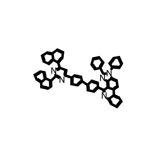 c1ccc(-c2nc3c4c(-c5ccc(-c6ccc(-c7cc(-c8cccc9ccccc89)nc(-c8cccc9ccccc89)n7)cc6)cc5)nc5ccccc5c4ccc3n2-c2ccccc2)cc1